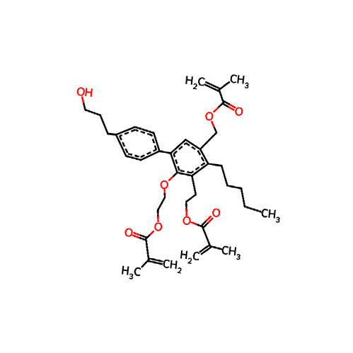 C=C(C)C(=O)OCCOc1c(-c2ccc(CCCO)cc2)cc(COC(=O)C(=C)C)c(CCCCC)c1CCOC(=O)C(=C)C